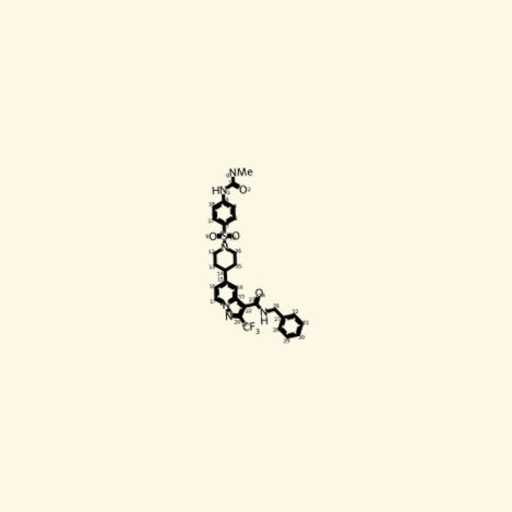 CNC(=O)Nc1ccc(S(=O)(=O)N2CCC(c3ccn4nc(C(F)(F)F)c(C(=O)NCc5ccccc5)c4c3)CC2)cc1